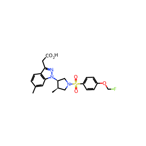 Cc1ccc2c(CC(=O)O)nn([C@H]3CN(S(=O)(=O)c4ccc(OCF)cc4)C[C@H]3C)c2c1